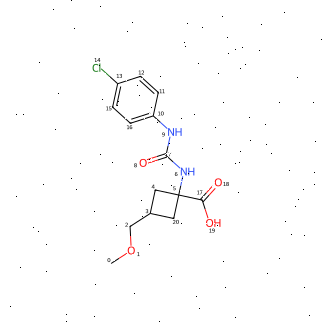 COCC1CC(NC(=O)Nc2ccc(Cl)cc2)(C(=O)O)C1